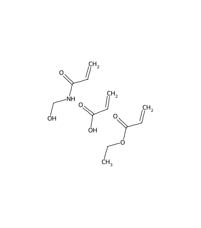 C=CC(=O)NCO.C=CC(=O)O.C=CC(=O)OCC